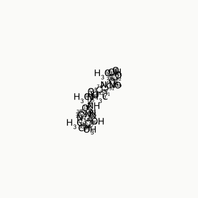 CCc1c2c(nc3ccc(OC(=O)N(C)CCNC(=O)c4nnc(C5=C(O)CC(O)C(C(C)C)=C5)n4-c4cccnc4)cc13)-c1cc3c(c(=O)n1C2)COC(=O)C3(O)CC